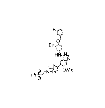 COc1cc2ncnc(Nc3ccc(OCc4cccc(F)c4)c(Br)c3)c2cc1-c1csc(C(C)NCCS(=O)(=O)C(C)C)n1